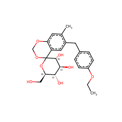 CCOc1ccc(Cc2cc3c(cc2C)OCOC32O[C@H](CO)[C@@H](O)[C@H](O)[C@H]2O)cc1